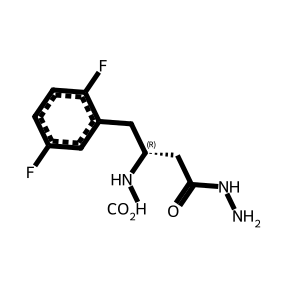 NNC(=O)C[C@@H](Cc1cc(F)ccc1F)NC(=O)O